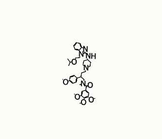 COc1ccc(C(CCN2CCC(Nc3nc4ccccc4n3CCOC(C)C)CC2)CN(C)C(=O)c2cc(OC)c(OC)c(OC)c2)cc1